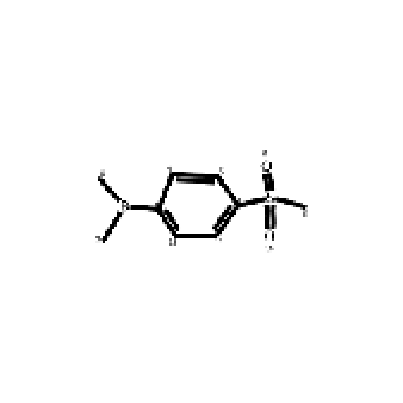 CB(C)c1ccc(S(C)(=O)=O)cc1